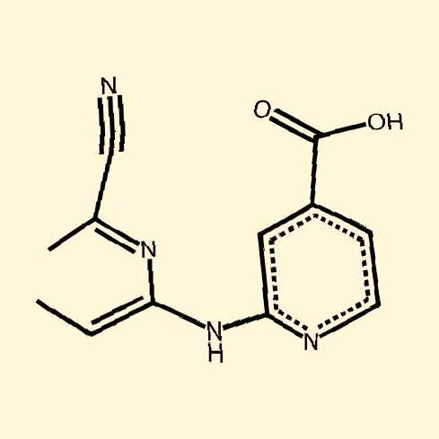 C/C=C(\N=C(/C)C#N)Nc1cc(C(=O)O)ccn1